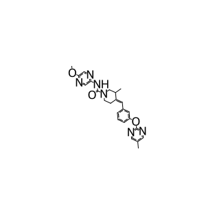 COc1cnc(NC(=O)N2CCC(=Cc3cccc(Oc4ncc(C)cn4)c3)C(C)C2)cn1